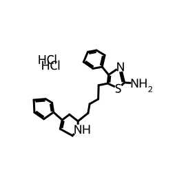 Cl.Cl.Nc1nc(-c2ccccc2)c(CCCCC2CC(c3ccccc3)=CCN2)s1